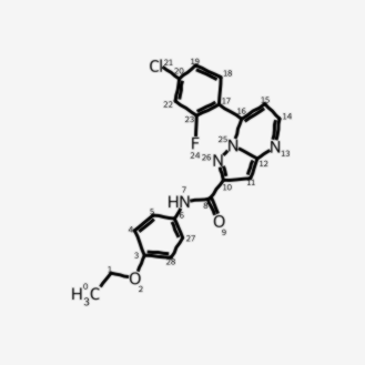 CCOc1ccc(NC(=O)c2cc3nccc(-c4ccc(Cl)cc4F)n3n2)cc1